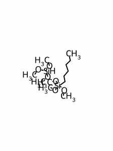 CCCCCC[Si](OC)(OC)OC.CO[SiH](OC)OC